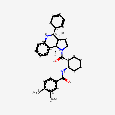 COc1ccc(C(=O)N[C@@H]2CCCC[C@@H]2C(=O)N2CC[C@@H]3[C@H](C4C=CC=CC4)Nc4ccccc4[C@@H]32)cc1OC